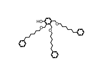 Oc1ccc(COCCCCCCc2ccccc2)c(COCCCCCCc2ccccc2)c1COCCCCCCc1ccccc1